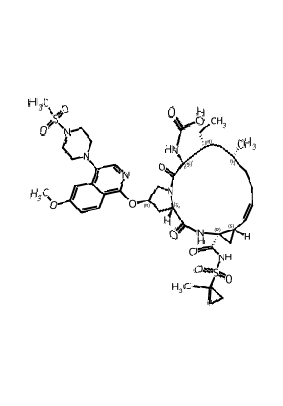 CC[C@@H]1C[C@H](C)CCC=C[C@@H]2C[C@@]2(C(=O)NS(=O)(=O)C2(C)CC2)NC(=O)[C@@H]2C[C@@H](Oc3ncc(N4CCN(S(C)(=O)=O)CC4)c4cc(OC)ccc34)CN2C(=O)[C@H]1NC(=O)O